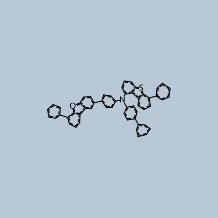 c1ccc(-c2ccc(N(c3ccc(-c4ccc5oc6c(-c7ccccc7)cccc6c5c4)cc3)c3cccc4sc5c(-c6ccccc6)cccc5c34)cc2)cc1